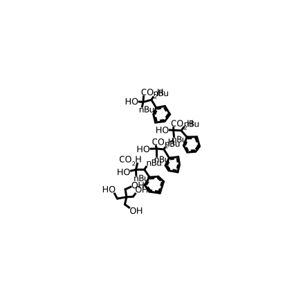 CCCCC(c1ccccc1)C(O)(CCCC)C(=O)O.CCCCC(c1ccccc1)C(O)(CCCC)C(=O)O.CCCCC(c1ccccc1)C(O)(CCCC)C(=O)O.CCCCC(c1ccccc1)C(O)(CCCC)C(=O)O.OCC(CO)(CO)CO